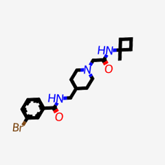 CC1(NC(=O)CN2CCC(CNC(=O)c3cccc(Br)c3)CC2)CCC1